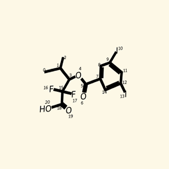 CC(C)C(OC(=O)c1cc(I)cc(I)c1)C(F)(F)C(=O)O